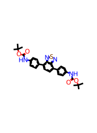 CC(C)(C)OC(=O)Nc1ccc(-c2ccc(-c3ccc(NC(=O)OC(C)(C)C)cc3)c3nsnc23)cc1